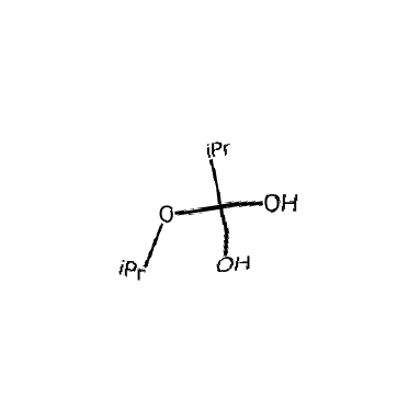 CC(C)OC(O)(O)C(C)C